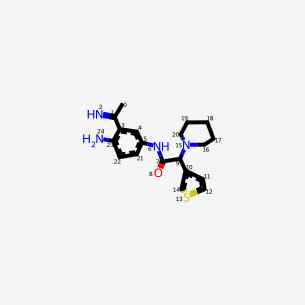 CC(=N)c1cc(NC(=O)C(c2ccsc2)N2CCCCC2)ccc1N